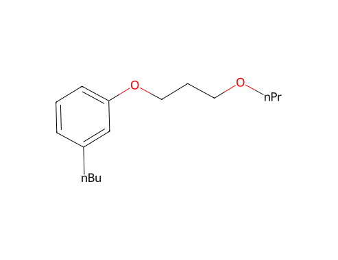 [CH2]CCCc1cccc(OCCCOCCC)c1